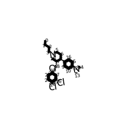 CCCCN1CC[C@@H](c2ccc(N(C)C)cc2)[C@H](COc2ccc(Cl)c(Cl)c2)C1